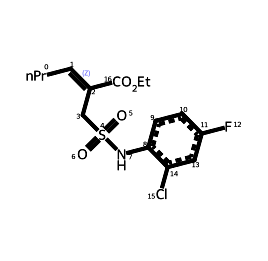 CCC/C=C(\CS(=O)(=O)Nc1ccc(F)cc1Cl)C(=O)OCC